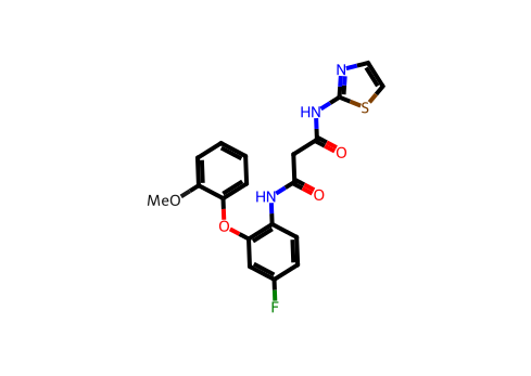 COc1ccccc1Oc1cc(F)ccc1NC(=O)CC(=O)Nc1nccs1